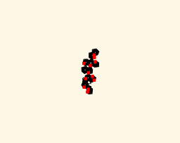 c1ccc2cc(-c3c4ccccc4c(-c4ccc(-c5cc6sc7ccc8c9ccccc9sc8c7c6c6ccccc56)c5ccccc45)c4ccccc34)ccc2c1